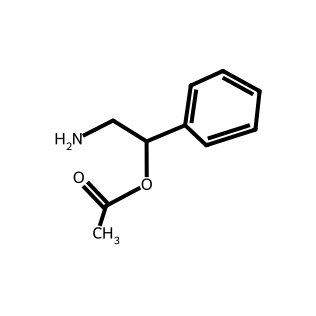 CC(=O)OC(CN)c1ccccc1